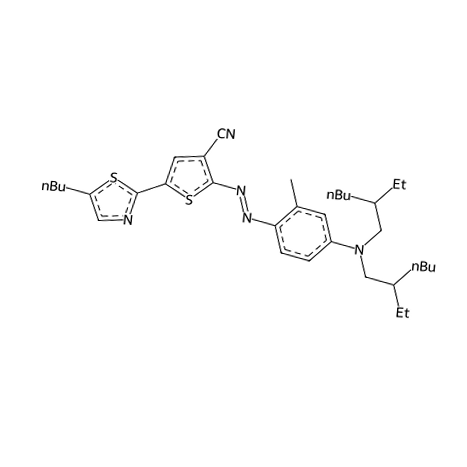 CCCCc1cnc(-c2cc(C#N)c(N=Nc3ccc(N(CC(CC)CCCC)CC(CC)CCCC)cc3C)s2)s1